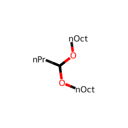 CCCCCCCCOC(CCC)OCCCCCCCC